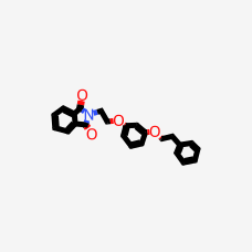 O=C1c2ccccc2C(=O)N1CCOc1cccc(OCCc2ccccc2)c1